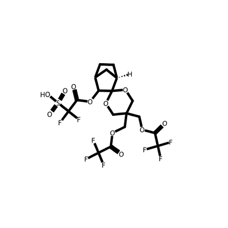 O=C(OCC1(COC(=O)C(F)(F)F)COC2(OC1)C(OC(=O)C(F)(F)S(=O)(=O)O)C1CC[C@@H]2C1)C(F)(F)F